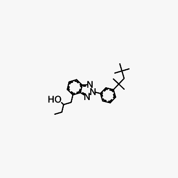 CCC(O)Cc1cccc2nn(-c3cccc(C(C)(C)CC(C)(C)C)c3)nc12